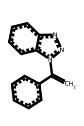 C=C(c1cc[c]cc1)n1nnc2ccccc21